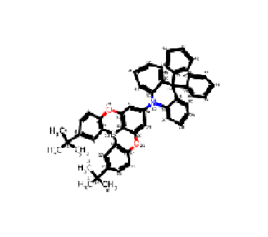 CC(C)(C)c1ccc2c(c1)B1c3cc(C(C)(C)C)ccc3Oc3cc(N4c5ccccc5C(c5ccccc5)(c5ccccc5)c5ccccc54)cc(c31)O2